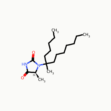 CCCCCCCC(C)(CCCCC)N1C(=O)NC(=O)[C@@H]1C